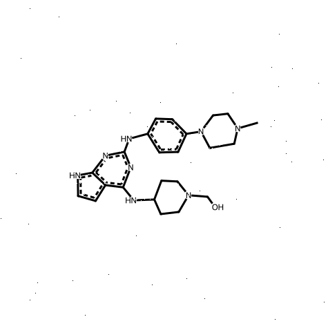 CN1CCN(c2ccc(Nc3nc(NC4CCN(CO)CC4)c4cc[nH]c4n3)cc2)CC1